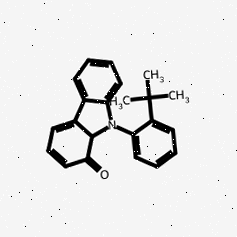 CC(C)(C)c1ccccc1N1c2ccccc2C2=CC=CC(=O)C21